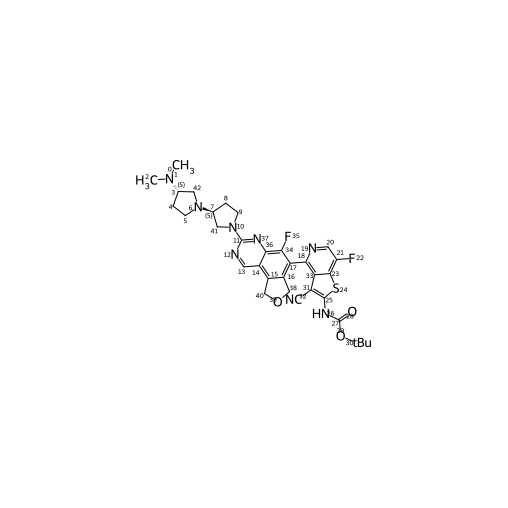 CN(C)[C@H]1CCN([C@H]2CCN(c3ncc4c5c(c(-c6ncc(F)c7sc(NC(=O)OC(C)(C)C)c(C#N)c67)c(F)c4n3)COC5)C2)C1